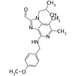 COc1ccc(CNc2nc(C)c(C)c3c2nc(C=O)n3CC(C)C)cc1